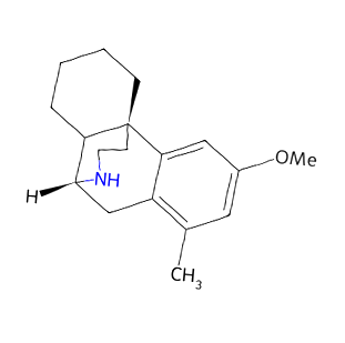 COc1cc(C)c2c(c1)[C@@]13CCCCC1[C@@H](C2)NCC3